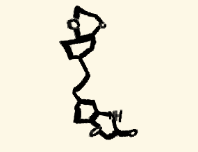 O=C1COc2ccc(C=Cc3ccc4c(c3)OCCO4)cc2N1